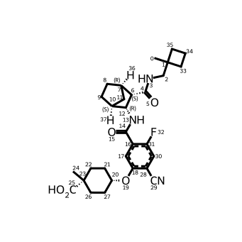 CC1(CNC(=O)[C@H]2[C@@H]3CC[C@@H](C3)[C@H]2NC(=O)c2cc(O[C@H]3CC[C@@](C)(C(=O)O)CC3)c(C#N)cc2F)CCC1